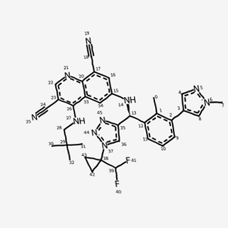 Cc1c(-c2cnn(C)c2)cccc1[C@H](Nc1cc(C#N)c2ncc(C#N)c(NCC(C)(C)C)c2c1)c1cn(C2(C(F)F)CC2)nn1